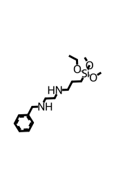 CCO[Si](CCCNCCNCc1ccccc1)(OC)OC